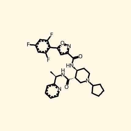 C[C@@H](NC(=O)[C@H]1CN(C2CCCC2)CC[C@@H]1NC(=O)c1cc(-c2c(F)cc(F)cc2F)on1)c1ccccn1